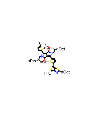 CCCCCCCCCCC(CCCCCCCC)CN1C(=O)C2=C(c3ccc(-c4sc(C)c5nc(CCCCCCCC)sc45)s3)N(CC(CCCCCCCC)CCCCCCCCCC)C(=O)C2=C1c1ccc(C)s1